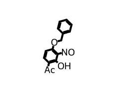 CC(=O)c1ccc(OCc2ccccc2)c(N=O)c1O